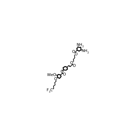 COc1cc(C(=O)Oc2ccc(C=CC(=O)OCCCCOC(=O)c3cc(N)cc(N)c3)cc2)ccc1OCCCCCC(F)(F)F